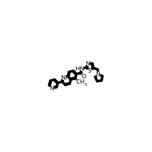 Cc1c(/C=C\C(=N)c2cccnc2)cccc1C(=O)Nc1ncc(CN2CCCC2)s1